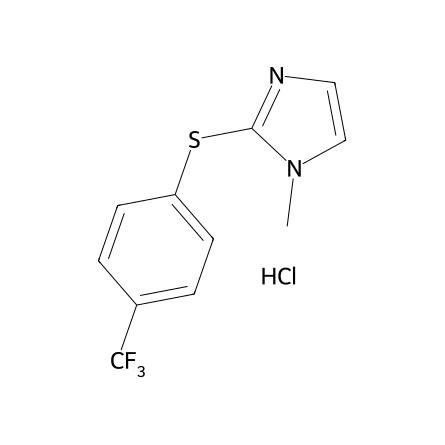 Cl.Cn1ccnc1Sc1ccc(C(F)(F)F)cc1